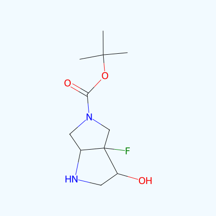 CC(C)(C)OC(=O)N1CC2NCC(O)C2(F)C1